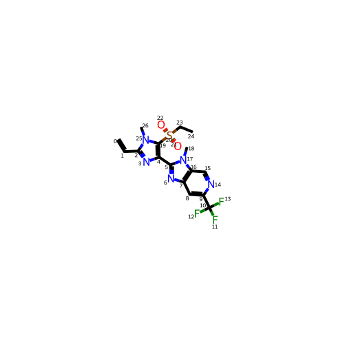 C=Cc1nc(-c2nc3cc(C(F)(F)F)ncc3n2C)c(S(=O)(=O)CC)n1C